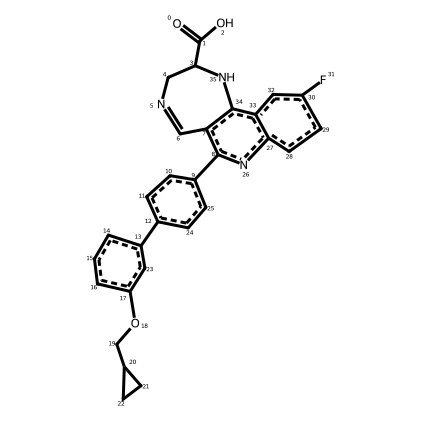 O=C(O)C1CN=Cc2c(-c3ccc(-c4cccc(OCC5CC5)c4)cc3)nc3ccc(F)cc3c2N1